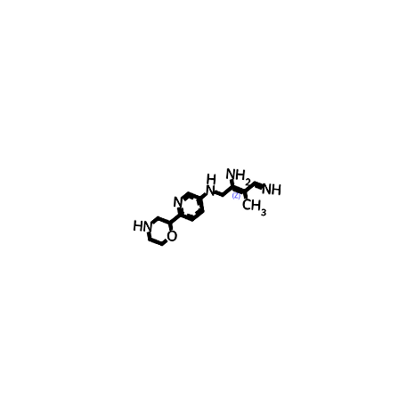 C/C(C=N)=C(/N)CNc1ccc(C2CNCCO2)nc1